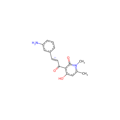 Cc1cc(O)c(C(=O)/C=C/c2cccc(N)c2)c(=O)n1C